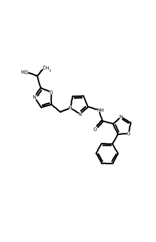 CC(O)c1ncc(Cn2ccc(NC(=O)c3ncoc3-c3ccccc3)n2)o1